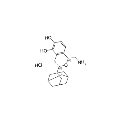 Cl.NC[C@@H]1O[C@H](C23CC4CC(CC(C4)C2)C3)Cc2c1ccc(O)c2O